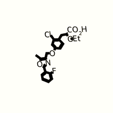 CCO[C@@H](Cc1ccc(OCc2nc(-c3ccccc3F)oc2C)cc1Cl)C(=O)O